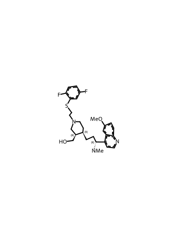 CN[C@H](CC[C@@H]1CCN(CCSc2cc(F)ccc2F)C[C@@H]1CO)c1ccnc2ccc(OC)cc12